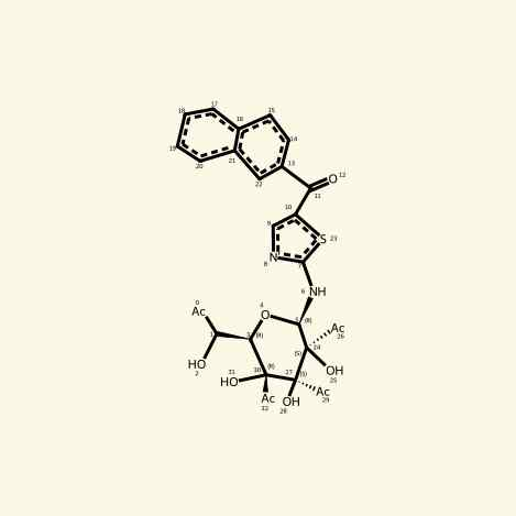 CC(=O)C(O)[C@H]1O[C@@H](Nc2ncc(C(=O)c3ccc4ccccc4c3)s2)[C@](O)(C(C)=O)[C@](O)(C(C)=O)[C@@]1(O)C(C)=O